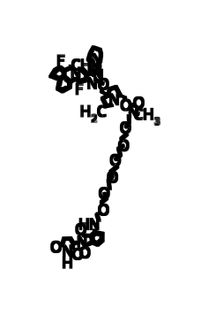 C#Cc1c(F)ccc2cccc(-c3ncc4c(N5CC6CCC(C5)N6)nc(OC[C@@]56CC[C@@H](COC(=O)N(C)CCOCCOCCOCCOCCOCCOCCNc7cccc8c7C(=O)N(C7CCC(=O)NC7=O)C8=O)N5CC(=C)C6)nc4c3F)c12